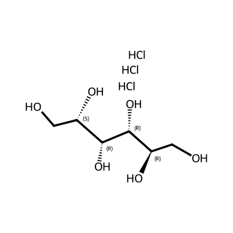 Cl.Cl.Cl.OC[C@@H](O)[C@@H](O)[C@H](O)[C@@H](O)CO